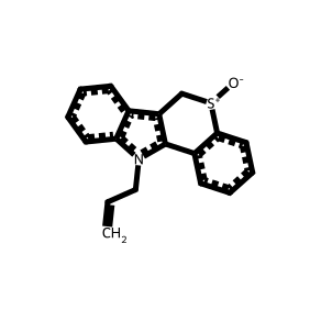 C=CCn1c2c(c3ccccc31)C[S+]([O-])c1ccccc1-2